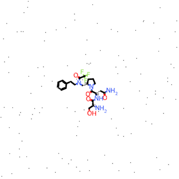 NC(=O)C[C@H](NC(=O)[C@@H](N)CO)C(=O)N1CCC[C@H]1CN(CCc1ccccc1)C(=O)C(F)(F)F